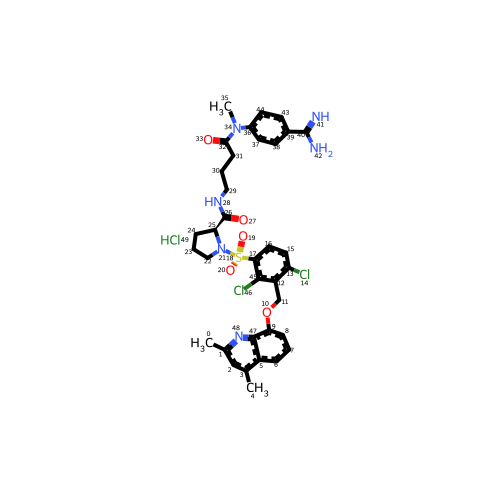 Cc1cc(C)c2cccc(OCc3c(Cl)ccc(S(=O)(=O)N4CCC[C@H]4C(=O)NCCCC(=O)N(C)c4ccc(C(=N)N)cc4)c3Cl)c2n1.Cl